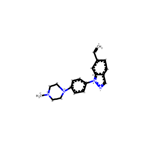 C=Cc1ccc2cnn(-c3ccc(N4CCN(C)CC4)cc3)c2c1